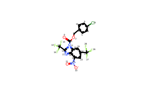 O=C(OCc1ccc(Cl)cc1)n1c(C(F)(F)F)nc2c([N+](=O)[O-])cc(C(F)(F)F)cc21